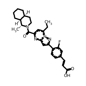 CCc1cc(C(=O)N2CC[C@@H]3CCCC[C@@H]3[C@H]2C)nc2cc(-c3ccc(/C=C/C(=O)O)cc3F)nn12